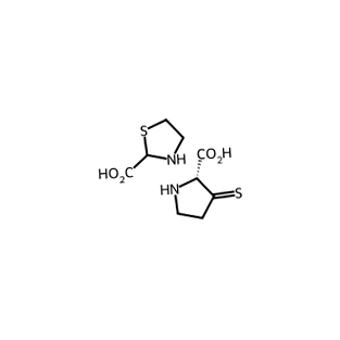 O=C(O)C1NCCS1.O=C(O)[C@H]1NCCC1=S